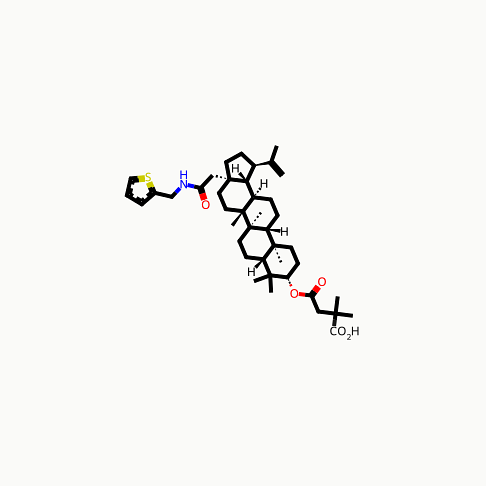 C=C(C)[C@@H]1CC[C@]2(CC(=O)NCc3cccs3)CC[C@]3(C)[C@H](CC[C@@H]4[C@@]5(C)CC[C@H](OC(=O)CC(C)(C)C(=O)O)C(C)(C)[C@@H]5CC[C@]43C)[C@@H]12